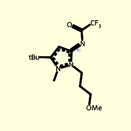 COCCCn1/c(=N/C(=O)C(F)(F)F)cc(C(C)(C)C)n1C